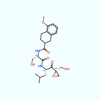 COc1cccc2c1CCC(C(=O)N[C@@H](CO)C(=O)N[C@@H](CC(C)C)C(=O)[C@@]1(CO)CO1)C2